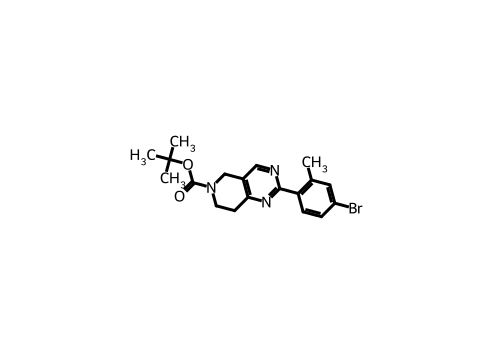 Cc1cc(Br)ccc1-c1ncc2c(n1)CCN(C(=O)OC(C)(C)C)C2